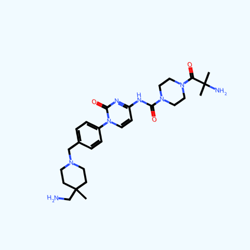 CC1(CN)CCN(Cc2ccc(-n3ccc(NC(=O)N4CCN(C(=O)C(C)(C)N)CC4)nc3=O)cc2)CC1